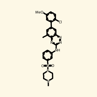 COc1ccc(Cl)c(-c2cc(C)c3nc(Nc4cccc(S(=O)(=O)N5CCN(C)CC5)c4)nnc3c2)c1